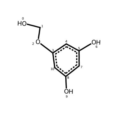 OCOc1cc(O)cc(O)c1